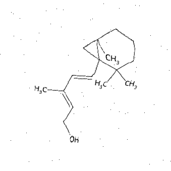 CC(C=CC12CC1(C)CCCC2(C)C)=CCO